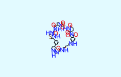 CN(CC(=O)NCCCCCNc1ccc2c(c1)C(=O)N(C1CCC(=O)NC1=O)C2=O)C1CC(c2cccc(C3CSC(NC(=O)CNC(=O)C4CCN(S(C)(=O)=O)C4)N3)c2)CCN1